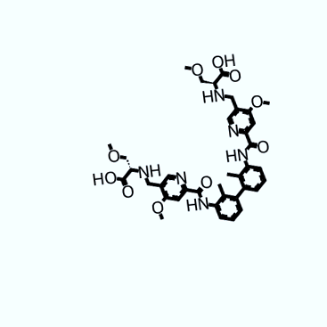 COC[C@H](NCc1cnc(C(=O)Nc2cccc(-c3cccc(NC(=O)c4cc(OC)c(CN[C@@H](COC)C(=O)O)cn4)c3C)c2C)cc1OC)C(=O)O